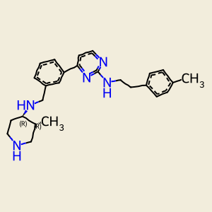 Cc1ccc(CCNc2nccc(-c3cccc(CN[C@@H]4CCNC[C@H]4C)c3)n2)cc1